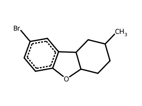 CC1CCC2Oc3ccc(Br)cc3C2C1